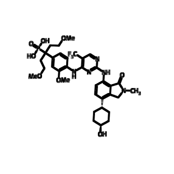 COCCC(CCOC)(c1ccc(Nc2nc(Nc3ccc([C@H]4CC[C@H](O)CC4)c4c3C(=O)N(C)C4)ncc2C(F)(F)F)c(OC)c1)P(=O)(O)O